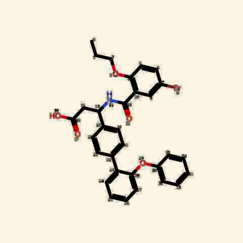 CCCOc1ccc(Br)cc1C(=O)NC(CC(=O)O)c1ccc(-c2ccccc2Oc2ccccc2)cc1